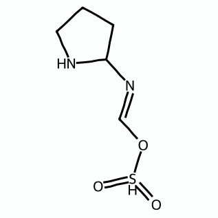 O=[SH](=O)OC=NC1CCCN1